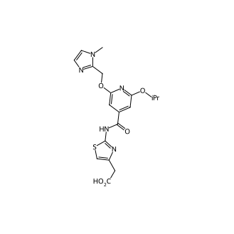 CC(C)Oc1cc(C(=O)Nc2nc(CC(=O)O)cs2)cc(OCc2nccn2C)n1